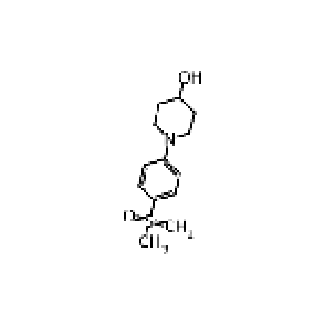 C=S(C)(=O)c1ccc(N2CCC(O)CC2)cc1